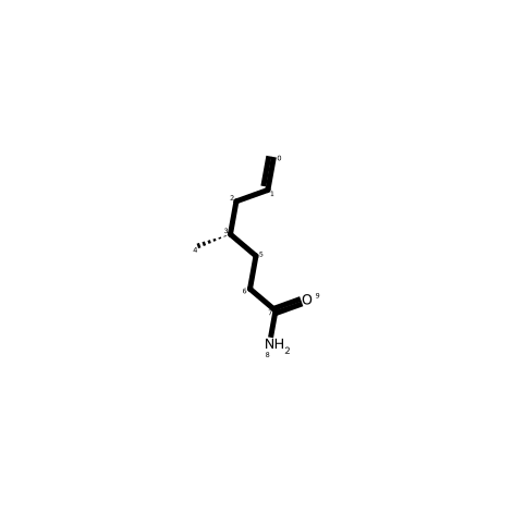 C=CC[C@@H](C)CCC(N)=O